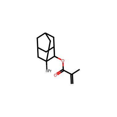 C=C(C)C(=O)OC1C2CC3CC(C2)CC1(CCC)C3